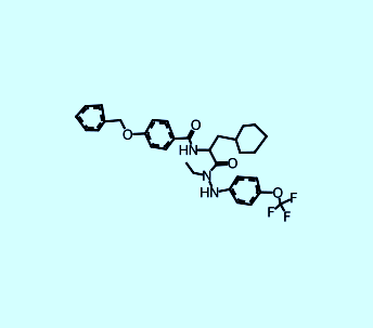 CCN(Nc1ccc(OC(F)(F)F)cc1)C(=O)C(CC1CCCCC1)NC(=O)c1ccc(OCc2ccccc2)cc1